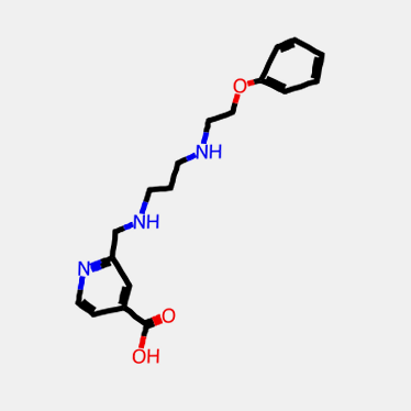 O=C(O)c1ccnc(CNCCCNCCOc2ccccc2)c1